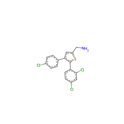 NCc1cc(-c2ccc(Cl)cc2)c(-c2ccc(Cl)cc2Cl)s1